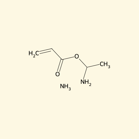 C=CC(=O)OC(C)N.N